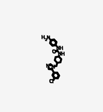 Nc1ccc(NC(=O)NC2CCC(Cn3cncc3-c3cccc(Cl)c3)CC2)cc1